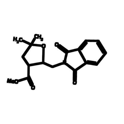 COC(=O)C1CC(C)(C)OC1CN1C(=O)c2ccccc2C1=O